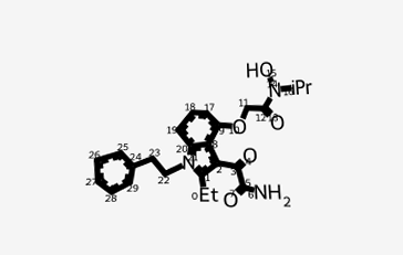 CCc1c(C(=O)C(N)=O)c2c(OCC(=O)N(O)C(C)C)cccc2n1CCc1ccccc1